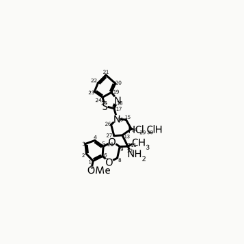 COc1cccc2c1OCC(C(C)(N)C1CCN(c3nc4ccccc4s3)CC1)O2.Cl.Cl